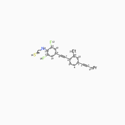 CCCC#Cc1ccc(C#Cc2cc(F)c(N=C=S)c(F)c2)c(CC)c1